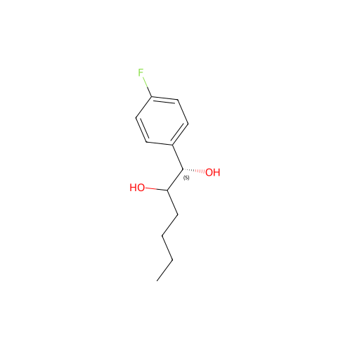 CCCCC(O)[C@@H](O)c1ccc(F)cc1